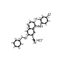 Cl.N#Cc1cc2c(Nc3ccc(Cl)cc3F)ccnc2cc1OCc1ccccc1